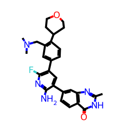 Cc1nc2cc(-c3cc(-c4ccc(C5CCOCC5)c(CN(C)C)c4)c(F)nc3N)ccc2c(=O)[nH]1